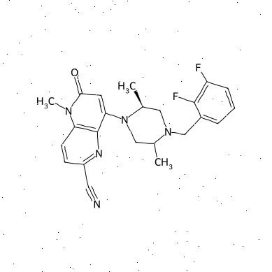 CC1CN(c2cc(=O)n(C)c3ccc(C#N)nc23)[C@@H](C)CN1Cc1cccc(F)c1F